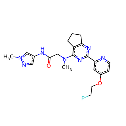 CN(CC(=O)Nc1cnn(C)c1)c1nc(-c2cc(OCCF)ccn2)nc2c1CCC2